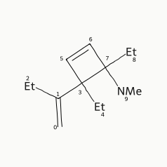 C=C(CC)C1(CC)C=CC1(CC)NC